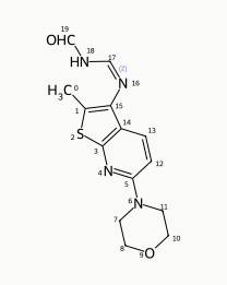 Cc1sc2nc(N3CCOCC3)ccc2c1/N=C\NC=O